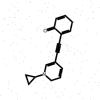 O=C1C=C[C]C=C1C#CC1=CN(C2CC2)CC=C1